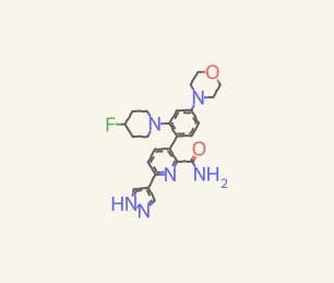 NC(=O)c1nc(-c2cn[nH]c2)ccc1-c1ccc(N2CCOCC2)cc1N1CCC(F)CC1